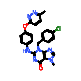 Cc1ccc(Oc2ccc(Nc3nc(=O)c4c(ncn4C)n3Cc3ccc(Cl)cc3)cc2)nn1